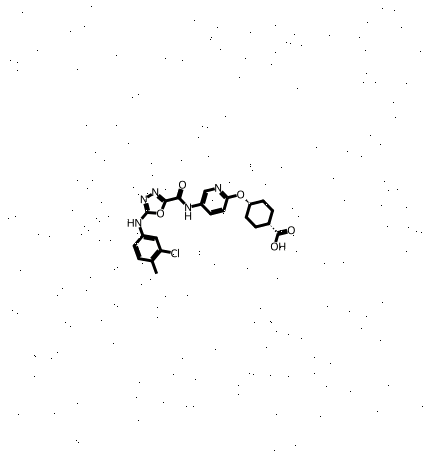 Cc1ccc(Nc2nnc(C(=O)Nc3ccc(O[C@H]4CC[C@@H](C(=O)O)CC4)nc3)o2)cc1Cl